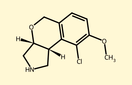 COc1ccc2c(c1Cl)[C@@H]1CNC[C@@H]1OC2